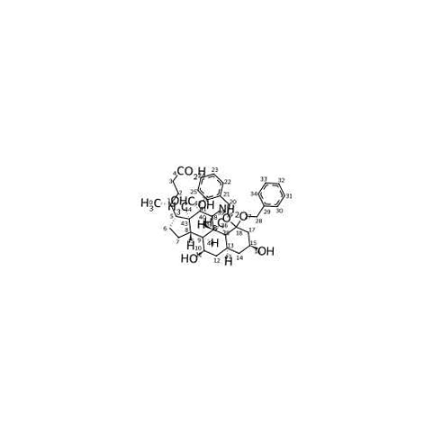 C[C@H](CCC(=O)O)[C@H]1CC[C@H]2[C@@H]3[C@H](O)C[C@@H]4C[C@H](O)CC(OCc5ccccc5)(OCc5ccccc5)[C@]4(C)[C@H]3C(N)[C@@](O)(C=O)[C@]12C